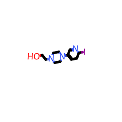 OCCN1CCN(C2=CCC(I)N=C2)CC1